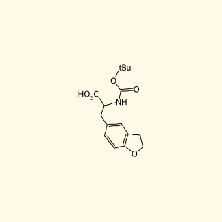 CC(C)(C)OC(=O)NC(Cc1ccc2c(c1)CCO2)C(=O)O